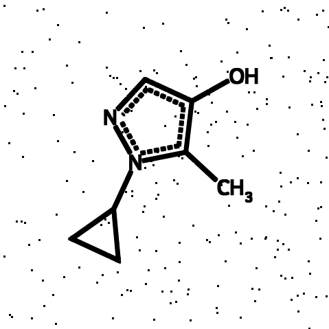 Cc1c(O)cnn1C1CC1